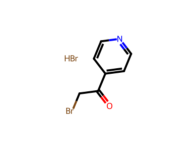 Br.O=C(CBr)c1ccncc1